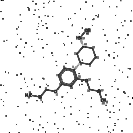 COCOc1ccc([C@H]2CCC[C@@H](NO)C2)c(OCOC)c1